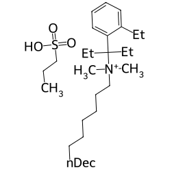 CCCCCCCCCCCCCCCC[N+](C)(C)C(CC)(CC)c1ccccc1CC.CCCS(=O)(=O)O